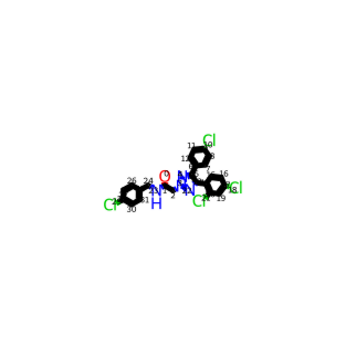 O=C(Cn1nc(-c2ccc(Cl)cc2)c(-c2ccc(Cl)cc2Cl)n1)NCc1ccc(Cl)cc1